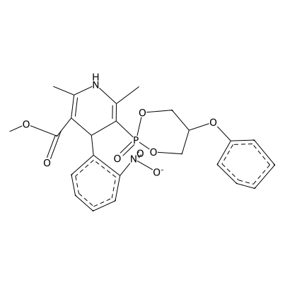 COC(=O)C1=C(C)NC(C)=C(P2(=O)OCC(Oc3ccccc3)CO2)C1c1ccccc1[N+](=O)[O-]